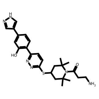 CC1(C)CC(Sc2ccc(-c3ccc(-c4cn[nH]c4)cc3O)nn2)CC(C)(C)N1C(=O)CCN